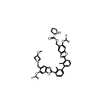 COC1CN(Cc2cc3nc(-c4cccc(-c5cccc(-c6nc7cc(COC(=O)[C@@H]8CCCN8)c(OC(F)F)cc7o6)c5C)c4C)oc3cc2OC(F)F)C1